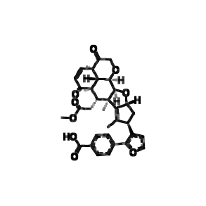 COC(=O)C[C@H]1[C@]2(C)C3=C(C)[C@H](c4ccoc4-c4ccc(C(=O)O)cc4)C[C@H]3O[C@@H]2[C@@H]2OCC(=O)[C@]3(C)C=CC(=O)[C@@]1(C)[C@@H]23